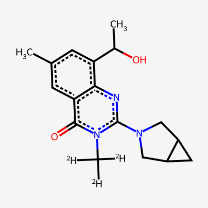 [2H]C([2H])([2H])n1c(N2CC3CC3C2)nc2c(C(C)O)cc(C)cc2c1=O